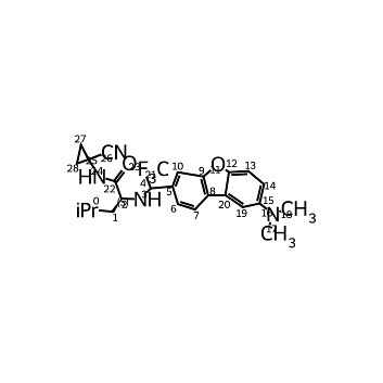 CC(C)C[C@H](NC(c1ccc2c(c1)oc1ccc(N(C)C)cc12)C(F)(F)F)C(=O)NC1(C#N)CC1